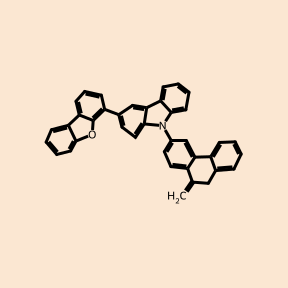 C=C1Cc2ccccc2-c2cc(-n3c4ccccc4c4cc(-c5cccc6c5oc5ccccc56)ccc43)ccc21